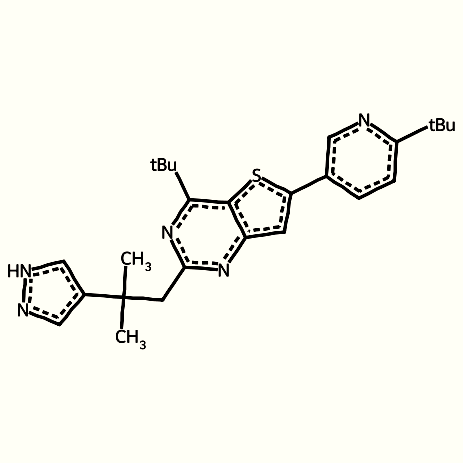 CC(C)(C)c1ccc(-c2cc3nc(CC(C)(C)c4cn[nH]c4)nc(C(C)(C)C)c3s2)cn1